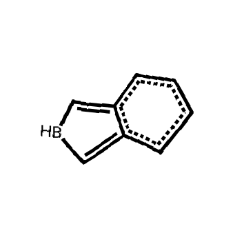 B1C=c2ccccc2=C1